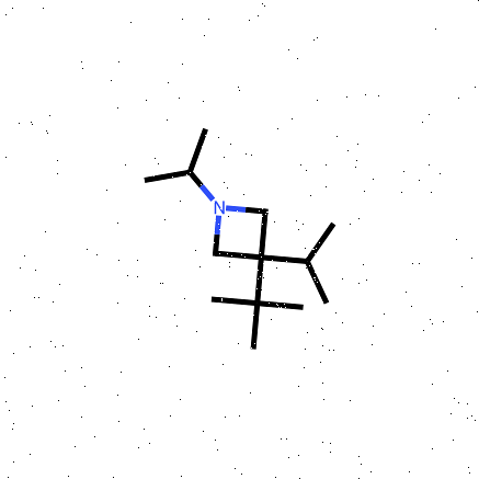 CC(C)N1CC(C(C)C)(C(C)(C)C)C1